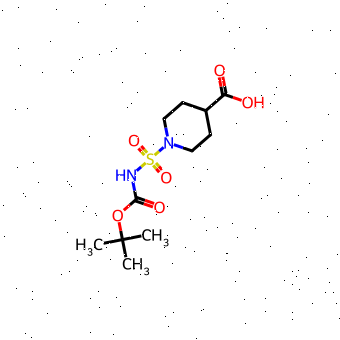 CC(C)(C)OC(=O)NS(=O)(=O)N1CCC(C(=O)O)CC1